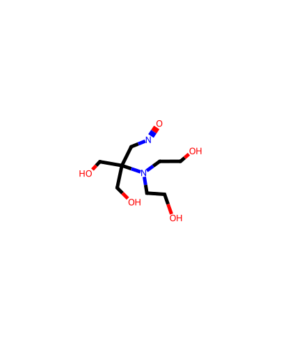 O=NCC(CO)(CO)N(CCO)CCO